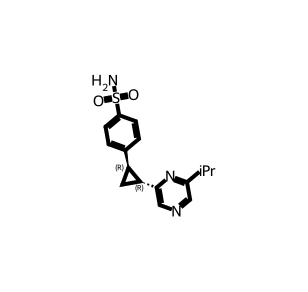 CC(C)c1cncc([C@@H]2C[C@H]2c2ccc(S(N)(=O)=O)cc2)n1